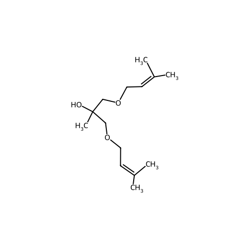 CC(C)=CCOCC(C)(O)COCC=C(C)C